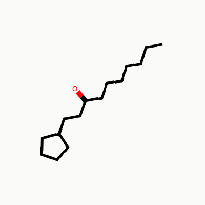 CCCCCCCC(=O)CCC1CCCC1